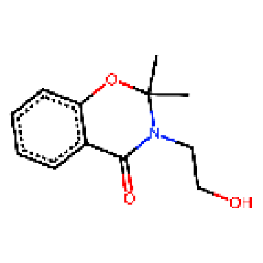 CC1(C)Oc2ccccc2C(=O)N1CCO